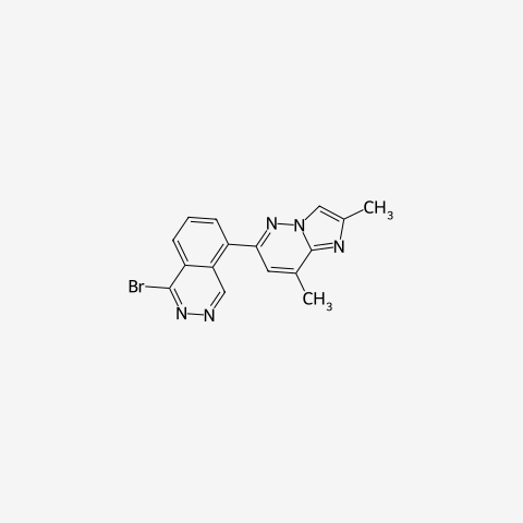 Cc1cn2nc(-c3cccc4c(Br)nncc34)cc(C)c2n1